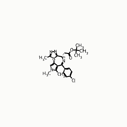 Cc1c2c(cn1C)-n1c(C)nnc1[C@H](CC(=O)OC(C)(C)C)N=C2c1ccc(Cl)cc1